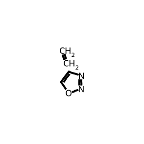 C=C.c1conn1